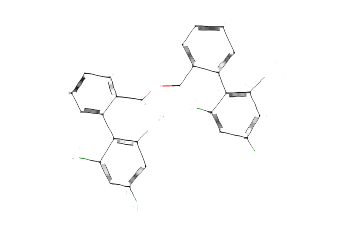 Fc1cc(Br)c(-c2ccccc2COCc2ccccc2-c2c(Br)cc(F)cc2C(F)(F)F)c(C(F)(F)F)c1